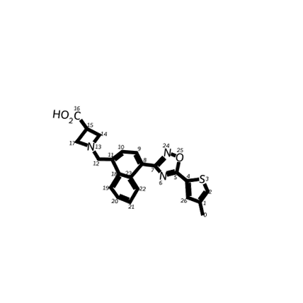 Cc1csc(-c2nc(-c3ccc(CN4CC(C(=O)O)C4)c4ccccc34)no2)c1